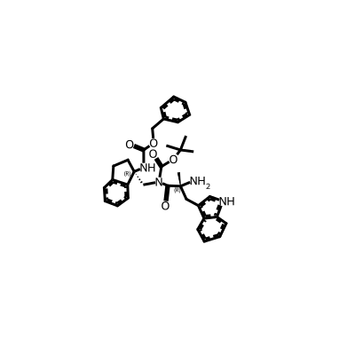 CC(C)(C)OC(=O)N(C[C@@]1(NC(=O)OCc2ccccc2)CCc2ccccc21)C(=O)[C@](C)(N)Cc1c[nH]c2ccccc12